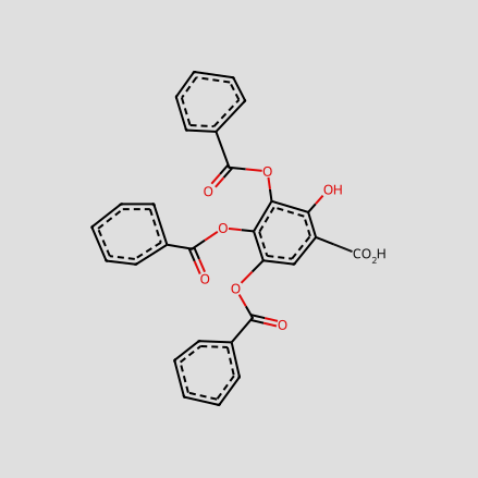 O=C(Oc1cc(C(=O)O)c(O)c(OC(=O)c2ccccc2)c1OC(=O)c1ccccc1)c1ccccc1